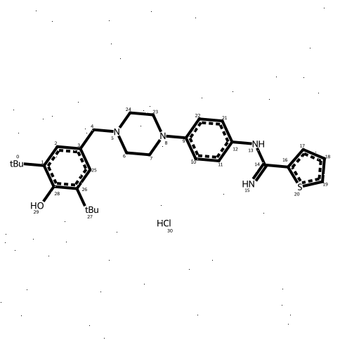 CC(C)(C)c1cc(CN2CCN(c3ccc(NC(=N)c4cccs4)cc3)CC2)cc(C(C)(C)C)c1O.Cl